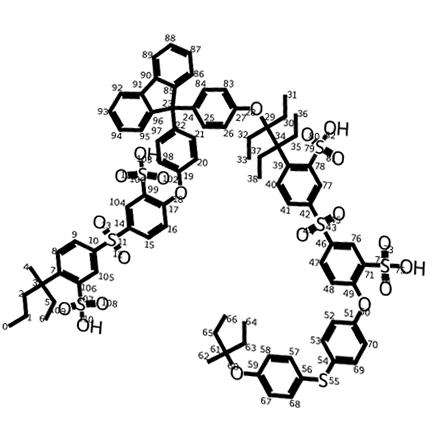 CCCC(C)(CC)c1ccc(S(=O)(=O)c2ccc(Oc3ccc(C4(c5ccc(OC(CC)(CC)C(CC)(CC)c6ccc(S(=O)(=O)c7ccc(Oc8ccc(Sc9ccc(OC(C)(CC)CC)cc9)cc8)c(S(=O)(=O)O)c7)cc6S(=O)(=O)O)cc5)c5ccccc5-c5ccccc54)cc3)c(S(=O)(=O)O)c2)cc1S(=O)(=O)O